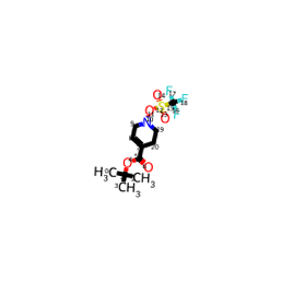 CC(C)(C)OC(=O)C1=CCN(OS(=O)(=O)C(F)(F)F)CC1